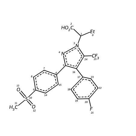 CCC(C(=O)O)n1nc(-c2ccc(S(C)(=O)=O)cc2)c(-c2ccc(F)cc2)c1C(F)(F)F